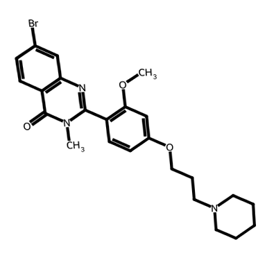 COc1cc(OCCCN2CCCCC2)ccc1-c1nc2cc(Br)ccc2c(=O)n1C